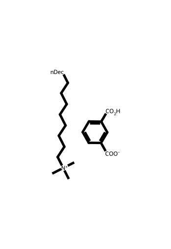 CCCCCCCCCCCCCCCCCC[N+](C)(C)C.O=C([O-])c1cccc(C(=O)O)c1